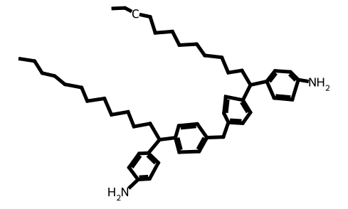 CCCCCCCCCCCCC(c1ccc(N)cc1)c1ccc(Cc2ccc(C(CCCCCCCCCCCC)c3ccc(N)cc3)cc2)cc1